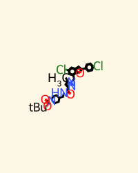 Cc1cc(C(=O)NCC2CCN(C(=O)OC(C)(C)C)CC2)nn1Cc1cc(Cl)cc2cc(-c3ccc(Cl)cc3)oc12